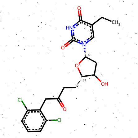 CCc1cn([C@@H]2CC(O)[C@H](CCC(=O)Cc3c(Cl)cccc3Cl)O2)c(=O)[nH]c1=O